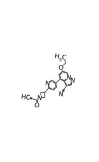 C#CC(=O)N1CC(c2ccc(-c3cc(OCC)cn4ncc(C#N)c34)cn2)C1